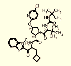 Cn1c(C(=O)C(CC2CCC2)NC(=O)[C@@H]2C[C@@H](Oc3ccc(Cl)cn3)CN2C(=O)[C@@H](NC(=O)NC(C)(C)C)C(C)(C)C)nc2ccccc21